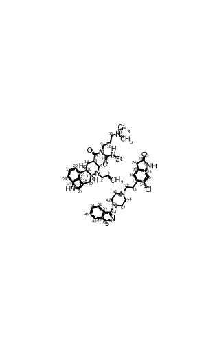 C=CCN1C[C@H](C(=O)N(CCCN(C)C)C(=O)NCC)C[C@@H]2c3cccc4[nH]cc(c34)C[C@H]21.O=C1Cc2cc(CCN3CCN(c4nsc5ccccc45)CC3)c(Cl)cc2N1